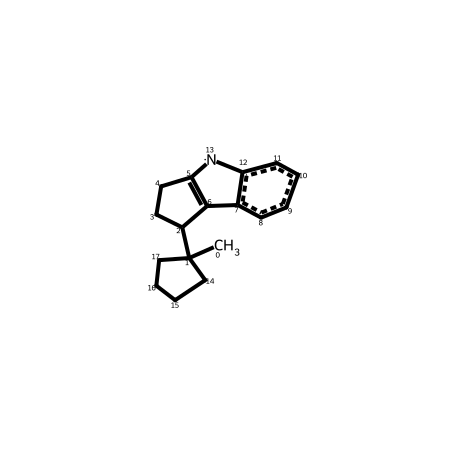 CC1(C2CCC3=C2c2ccccc2[N]3)CCCC1